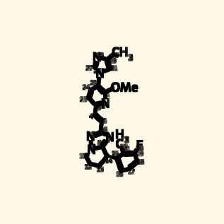 COc1nc(/C=C/c2nc3n(n2)CCC[C@@H]3c2cccc(F)c2C)ccc1-n1cnc(C)c1